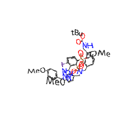 COc1ccc(CN(Cc2ccc(OC)cc2)S(=O)(=O)c2c(S(=O)(=O)C[C@H](C)CNC(=O)OC(C)(C)C)ccc(I)c2-c2nnn(Cc3ccc(OC)cc3)n2)cc1